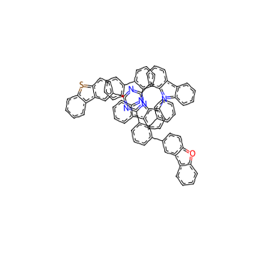 c1ccc(-c2ccccc2-n2c3ccccc3c3cccc(-n4c5ccccc5c5cccc(-c6nc(-c7ccc8sc9ccccc9c8c7)nc(-c7cccc(-c8ccc9oc%10ccccc%10c9c8)c7-c7ccccc7)n6)c54)c32)cc1